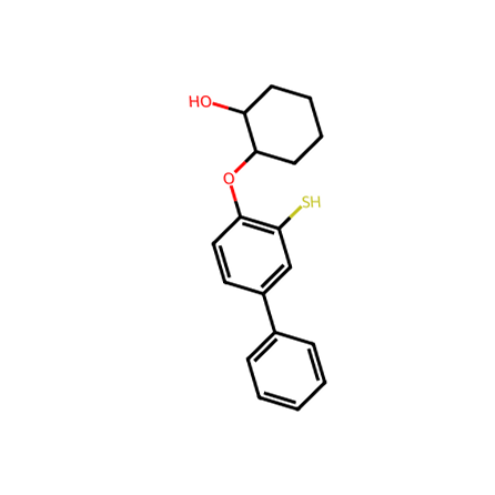 OC1CCCCC1Oc1ccc(-c2ccccc2)cc1S